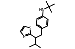 CC(C)C(Cc1ccc(NC(C)(C)C)cc1)c1nccs1